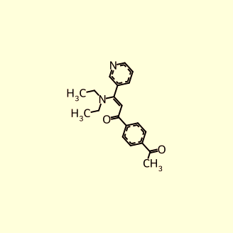 CCN(CC)/C(=C\C(=O)c1ccc(C(C)=O)cc1)c1cccnc1